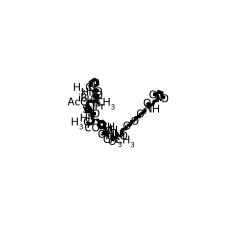 CC[C@H](C)[C@H](NC(=O)[C@H]1CCCCN1C)C(=O)N(C)[C@H](C[C@@H](OC(C)=O)c1nc(C(=O)N[C@@H](Cc2ccc(NC(=O)[C@H](C)NC(=O)[C@H](C)NC(=O)CCOCCOCCOCCNC(=O)CCCN3C(=O)C=CC3=O)cc2)C[C@H](C)C(=O)O)cs1)C(C)C